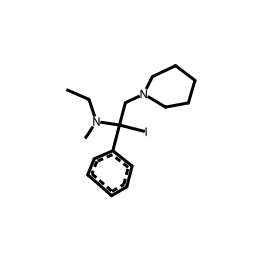 CCN(C)C(I)(CN1CCCCC1)c1ccccc1